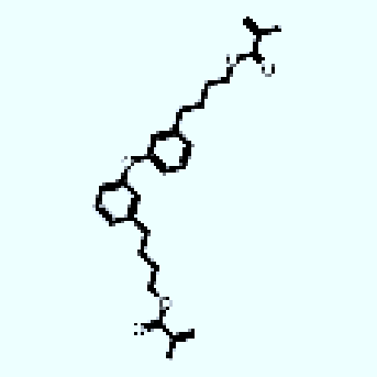 C=C(C)C(=O)OCCCCc1cccc(Oc2cccc(CCCCOC(=O)C(=C)C)c2)c1